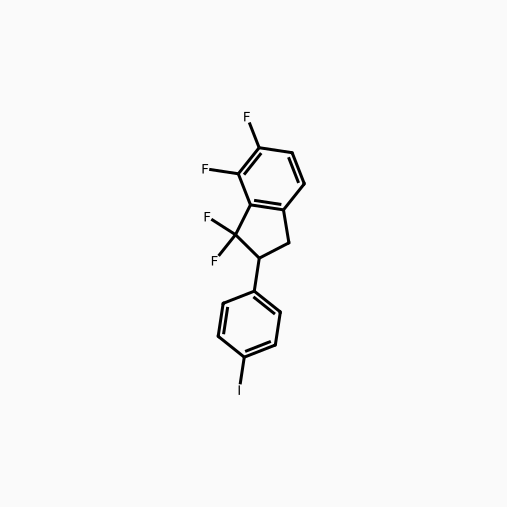 Fc1ccc2c(c1F)C(F)(F)C(c1ccc(I)cc1)C2